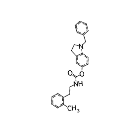 Cc1ccccc1CCNC(=O)Oc1ccc2c(c1)CCN2Cc1ccccc1